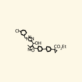 CCOC(=O)C1(c2ccc(-c3ccc(-c4onc(C)c4C(O)c4cn(Cc5cccc(Cl)c5)nn4)cc3)cc2)CC1